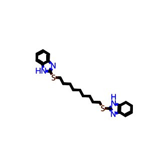 C1=Cc2nc(SCCCCCCCCCSc3nc4ccccc4[nH]3)[nH]c2CC1